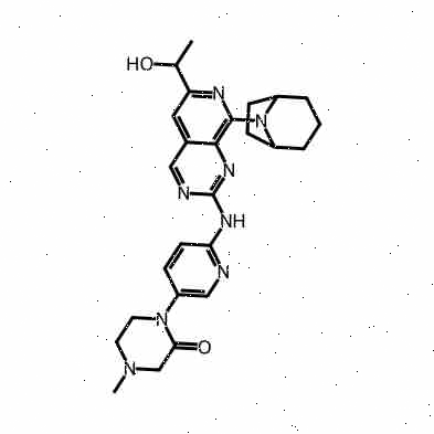 CC(O)c1cc2cnc(Nc3ccc(N4CCN(C)CC4=O)cn3)nc2c(N2C3CCCC2CC3)n1